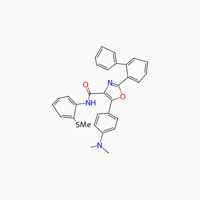 CSc1ccccc1NC(=O)c1nc(-c2ccccc2-c2ccccc2)oc1-c1ccc(N(C)C)cc1